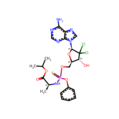 CC(C)OC(=O)[C@H](C)NP(=S)(OC[C@H]1O[C@@H](n2cnc3c(N)ncnc32)C(Cl)(Cl)[C@@H]1O)Oc1ccccc1